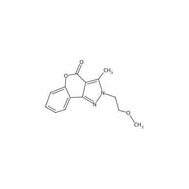 COCCn1nc2c(c1C)c(=O)oc1ccccc12